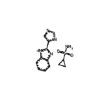 NS(=O)(=O)C1CC1.c1ccc2[nH]c(-c3cscn3)nc2c1